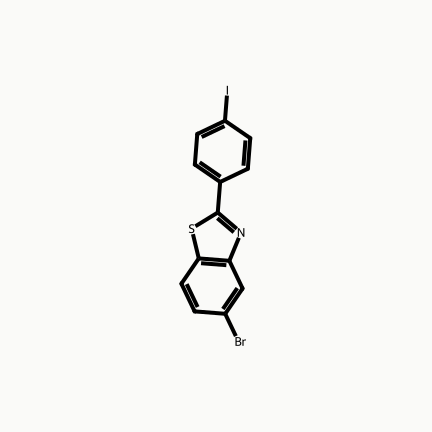 Brc1ccc2sc(-c3ccc(I)cc3)nc2c1